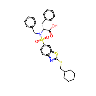 O=C(O)[C@@H](Cc1ccccc1)N(Cc1ccccc1)S(=O)(=O)c1ccc2nc(SCC3CCCCC3)sc2c1